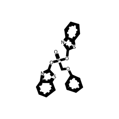 O=P(COc1ccccc1)(Oc1nc2ccccc2s1)Oc1nc2ccccc2s1